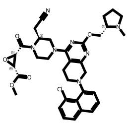 COC(=O)[C@@H]1O[C@@H]1C(=O)N1CCN(c2nc(OC[C@@H]3CCCN3C)nc3c2CCN(c2cccc4cccc(Cl)c24)C3)C[C@@H]1CC#N